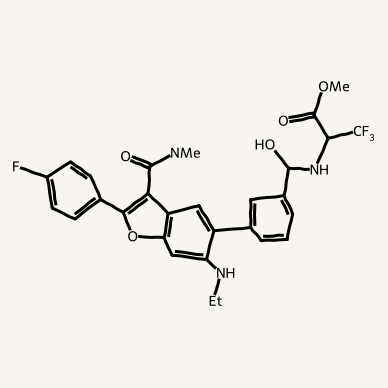 CCNc1cc2oc(-c3ccc(F)cc3)c(C(=O)NC)c2cc1-c1cccc(C(O)NC(C(=O)OC)C(F)(F)F)c1